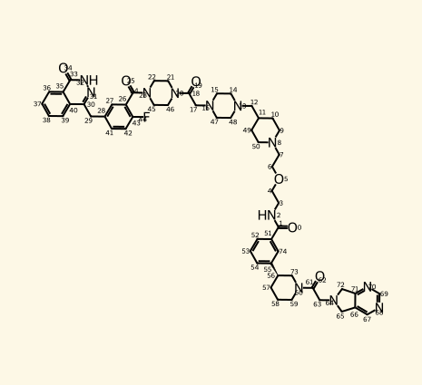 O=C(NCCOCCN1CCC(CN2CCN(CC(=O)N3CCN(C(=O)c4cc(Cc5n[nH]c(=O)c6ccccc56)ccc4F)CC3)CC2)CC1)c1cccc([C@@H]2CCCN(C(=O)CN3Cc4cncnc4C3)C2)c1